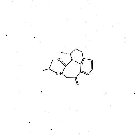 CC(C)N[C@H]1CC(=O)c2cccc3c2N(C1=O)[C@H](C)CC3